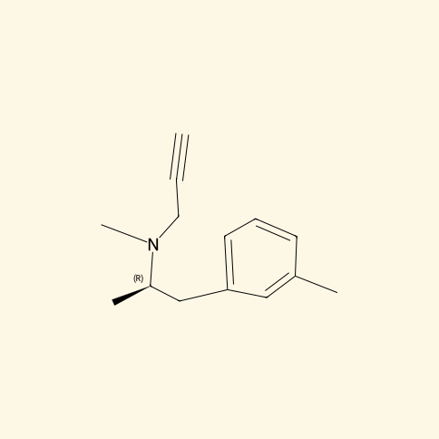 C#CCN(C)[C@H](C)Cc1cccc(C)c1